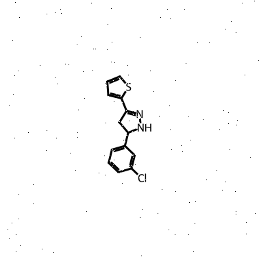 Clc1cccc(C2CC(c3cccs3)=NN2)c1